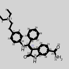 CCN(CC)CCc1ccc(N/C(=C2\C(=O)Nc3cc(C(N)=O)ccc32)c2ccccc2)cc1